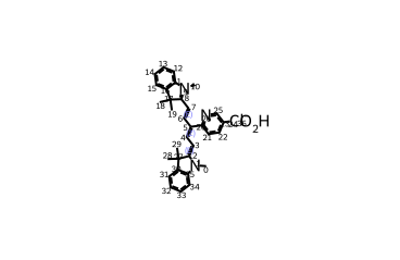 CN1/C(=C/C=C(/C=C/C2=[N+](C)c3ccccc3C2(C)C)c2ccc(C(=O)O)cn2)C(C)(C)c2ccccc21.[I-]